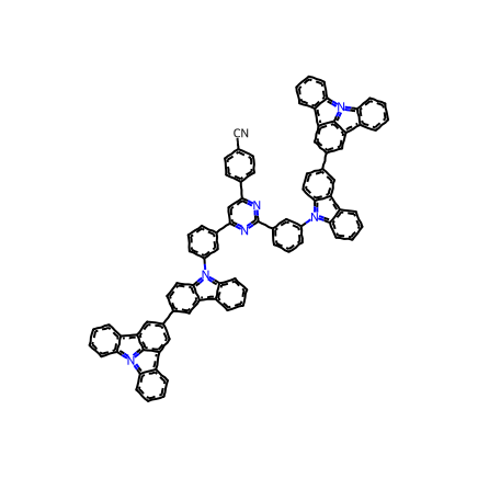 N#Cc1ccc(-c2cc(-c3cccc(-n4c5ccccc5c5cc(-c6cc7c8ccccc8n8c9ccccc9c(c6)c78)ccc54)c3)nc(-c3cccc(-n4c5ccccc5c5cc(-c6cc7c8ccccc8n8c9ccccc9c(c6)c78)ccc54)c3)n2)cc1